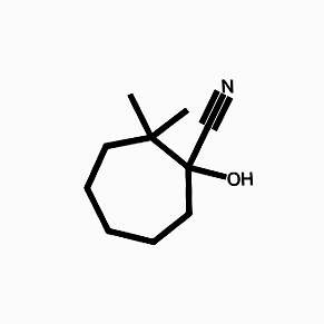 CC1(C)CCCCCC1(O)C#N